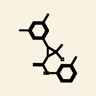 C=C(Nc1cccc(C)c1)C1C(c2cc(C)cc(C)c2)C1(C)Cl